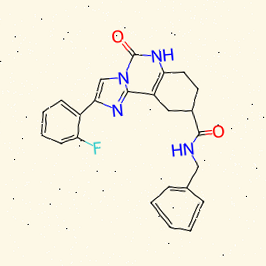 O=C(NCc1ccccc1)C1CCc2[nH]c(=O)n3cc(-c4ccccc4F)nc3c2C1